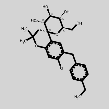 CCc1ccc(Cc2cc3c(cc2Cl)OC(C)(C)C[C@]32O[C@H](CO)[C@@H](O)[C@H](O)[C@H]2O)cc1